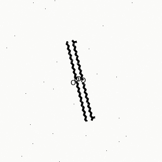 CC(C)CCCCCCCCCCCCCCCOC(=O)CCCCCCCCCCCCCCC(C)C.CCCCCCCCCCCCCCCCCC(=O)OCCCCCCCCCCCCCCCC